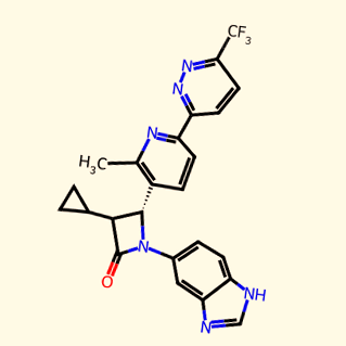 Cc1nc(-c2ccc(C(F)(F)F)nn2)ccc1[C@H]1C(C2CC2)C(=O)N1c1ccc2[nH]cnc2c1